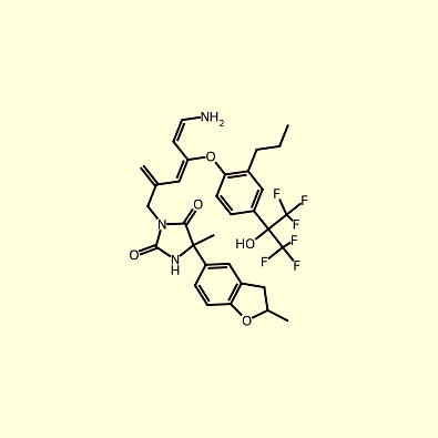 C=C(/C=C(\C=C/N)Oc1ccc(C(O)(C(F)(F)F)C(F)(F)F)cc1CCC)CN1C(=O)NC(C)(c2ccc3c(c2)CC(C)O3)C1=O